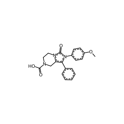 COc1ccc(-n2c(-c3ccccc3)c3n(c2=O)CCN(C(=O)O)C3)cc1